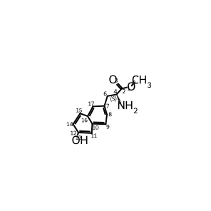 COC(=O)[C@@H](N)Cc1ccc2cc(O)ccc2c1